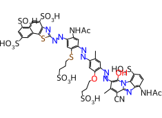 CC(=O)Nc1cc(N=Nc2cc(OCCCS(=O)(=O)O)c(N=Nc3c(C)c(C#N)c4nc5c(NC(C)=O)ccc(S(=O)(=O)O)c5n4c3O)cc2C)c(SCCCS(=O)(=O)O)cc1N=Nc1nc2c(S(=O)(=O)O)cc3c(S(=O)(=O)O)cc(S(=O)(=O)O)cc3c2s1